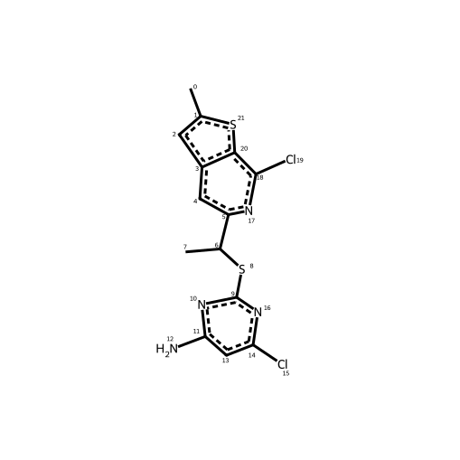 Cc1cc2cc(C(C)Sc3nc(N)cc(Cl)n3)nc(Cl)c2s1